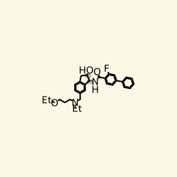 CCOCCCN(CC)Cc1ccc2c(c1)[C@@H](NC(=O)c1ccc(-c3ccccc3)cc1F)[C@H](O)C2